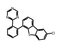 Clc1ccc2sc3c(-c4ccccc4-c4ncncn4)cccc3c2c1